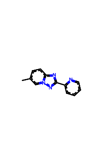 Cc1ccc2nc(-c3ccccn3)nn2c1